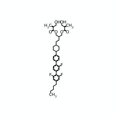 C=C(CO)C(=O)OCC(CCC1CCC(c2ccc(-c3ccc(-c4c(F)cc(CCCCC)cc4F)cc3F)cc2)CC1)COC(=O)C(=C)CO